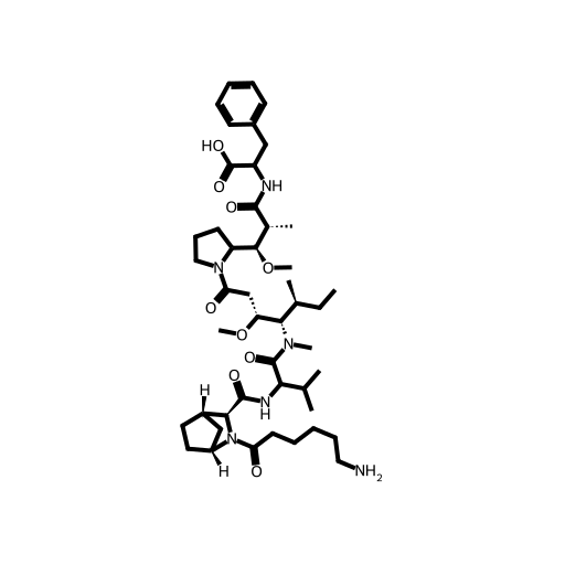 CC[C@H](C)[C@@H]([C@@H](CC(=O)N1CCCC1[C@H](OC)[C@@H](C)C(=O)NC(Cc1ccccc1)C(=O)O)OC)N(C)C(=O)C(NC(=O)[C@@H]1[C@H]2CC[C@H](C2)N1C(=O)CCCCCN)C(C)C